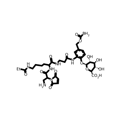 BC(=O)OCc1ccc(O[C@@H]2O[C@H](C(=O)O)[C@@H](O)[C@H](O)[C@H]2O)c(NC(=O)CCNC(=O)C(CCCCNC(=O)CC)NC(=O)C(CN)N2C(=O)C=CC2=O)c1